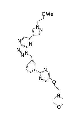 COCCn1cc(-c2cnc3nnn(Cc4cccc(-c5ncc(OCCN6CCOCC6)cn5)c4)c3n2)cn1